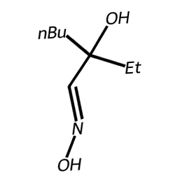 CCCCC(O)(C=NO)CC